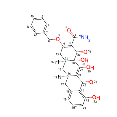 NC(=O)C1=C(OCc2ccccc2)C[C@@H]2C[C@@H]3Cc4cccc(O)c4C(=O)C3=C(O)[C@]2(O)C1=O